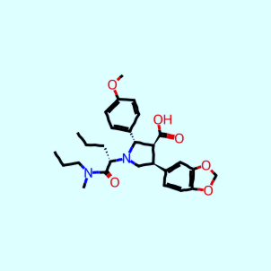 CCC[C@@H](C(=O)N(C)CCC)N1C[C@H](c2ccc3c(c2)OCO3)[C@H](C(=O)O)[C@H]1c1ccc(OC)cc1